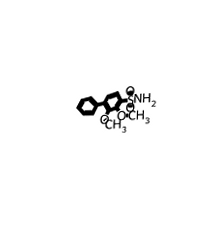 COc1c(-c2ccccc2)ccc(S(N)(=O)=O)c1OC